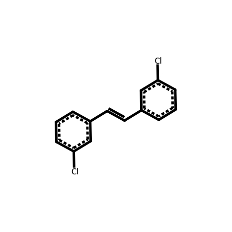 Clc1cccc(C=Cc2cccc(Cl)c2)c1